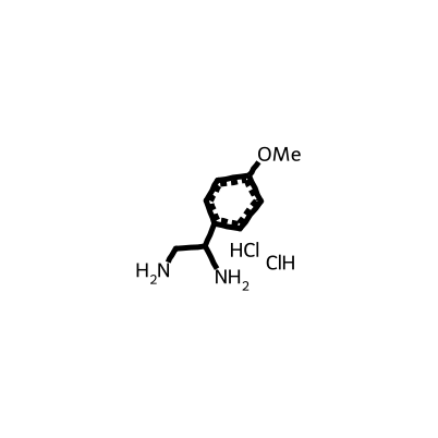 COc1ccc(C(N)CN)cc1.Cl.Cl